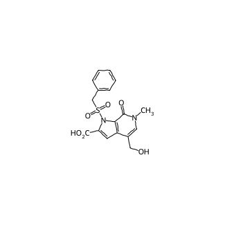 Cn1cc(CO)c2cc(C(=O)O)n(S(=O)(=O)Cc3ccccc3)c2c1=O